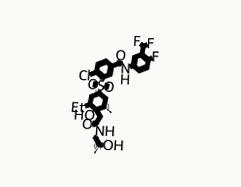 CCC1C[C@@H](S(=O)(=O)c2cc(C(=O)Nc3ccc(F)c(C(F)F)c3)ccc2Cl)C[C@H](C)[C@@]1(O)CC(=O)NC[C@@H](C)O